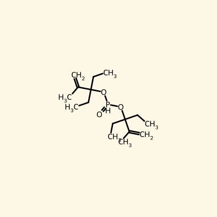 C=C(C)C(CC)(CC)O[PH](=O)OC(CC)(CC)C(=C)C